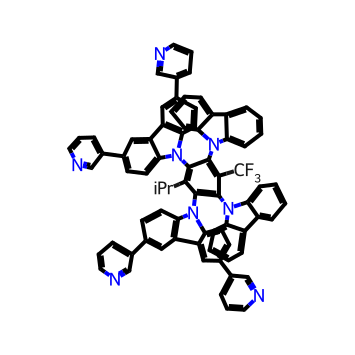 CC(C)c1c(-n2c3ccc(-c4cccnc4)cc3c3cc(-c4cccnc4)ccc32)c(-n2c3ccccc3c3ccccc32)c(C(F)(F)F)c(-n2c3ccccc3c3ccccc32)c1-n1c2ccc(-c3cccnc3)cc2c2cc(-c3cccnc3)ccc21